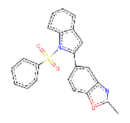 Cc1nc2cc(-c3cc4ccccc4n3S(=O)(=O)c3ccccc3)ccc2o1